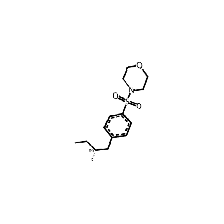 CC[C@@H](C)Cc1ccc(S(=O)(=O)N2CCOCC2)cc1